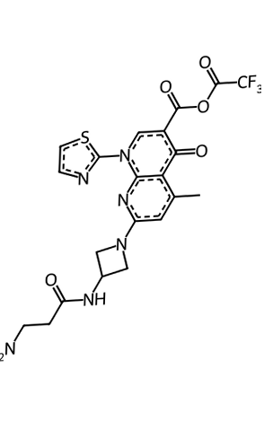 Cc1cc(N2CC(NC(=O)CCN)C2)nc2c1c(=O)c(C(=O)OC(=O)C(F)(F)F)cn2-c1nccs1